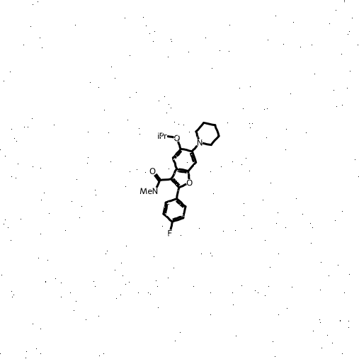 CNC(=O)c1c(-c2ccc(F)cc2)oc2cc(N3CCCCC3)c(OC(C)C)cc12